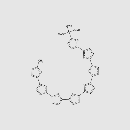 CO[Si](OC)(OC)c1ccc(-c2ccc(-c3ccc(-c4ccc(-c5ccc(-c6ccc(-c7ccc(-c8ccc(C)s8)s7)s6)s5)s4)s3)s2)s1